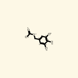 O=C(Cl)OCc1cc(Cl)c(Cl)c(Cl)c1